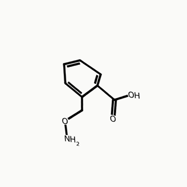 NOCc1ccccc1C(=O)O